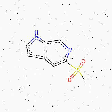 CS(=O)(=O)c1cc2cc[nH]c2cn1